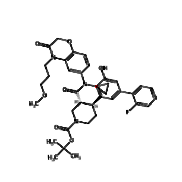 COCCCN1C(=O)COc2ccc(N(C(=O)[C@H]3CN(C(=O)OC(C)(C)C)CC[C@@H]3c3cc(O)cc(-c4ccccc4F)c3)C3CC3)cc21